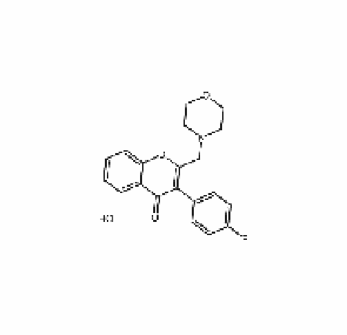 Cl.O=c1c(-c2ccc(F)cc2)c(CN2CCOCC2)oc2ccccc12